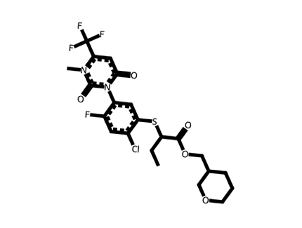 CCC(Sc1cc(-n2c(=O)cc(C(F)(F)F)n(C)c2=O)c(F)cc1Cl)C(=O)OCC1CCCOC1